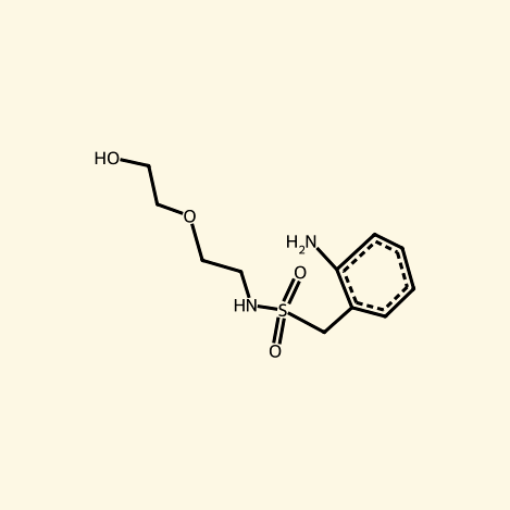 Nc1ccccc1CS(=O)(=O)NCCOCCO